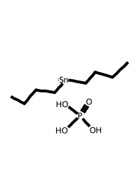 CCC[CH2][Sn][CH2]CCC.O=P(O)(O)O